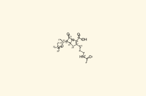 CC(=O)NCCSC1=C(C(=O)O)N2C(=O)[C@H]([C@H](C)O[Si](C)(C)C)C2C1